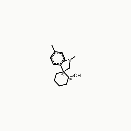 CNC[C@]1(c2ccc(C)cc2)CCCC[C@H]1O